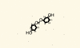 Oc1ccc(OCOc2cccc(O)c2)cc1